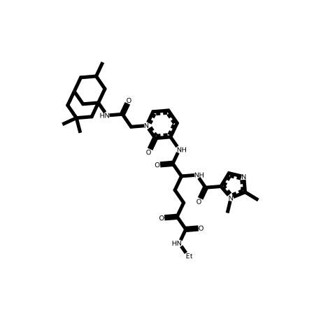 CCNC(=O)C(=O)CCC(NC(=O)c1cnc(C)n1C)C(=O)Nc1cccn(CC(=O)NC23CC(C)CC(CC(C)(C)C2)C3)c1=O